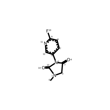 CN1CC(=O)N(c2ccc(F)nc2)C1=O